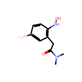 Bc1ccc(NO)c(CC(=O)N(C)C)c1